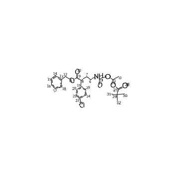 CC(OC(=O)NCCC(C(=O)OCc1ccccc1)c1ccc(Cl)cc1)OC(=O)C(C)(C)C